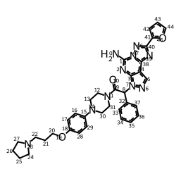 Nc1nc2c(cnn2C(C(=O)N2CCN(c3ccc(OCCCN4CCCC4)cc3)CC2)c2ccccc2)c2nc(-c3ccco3)nn12